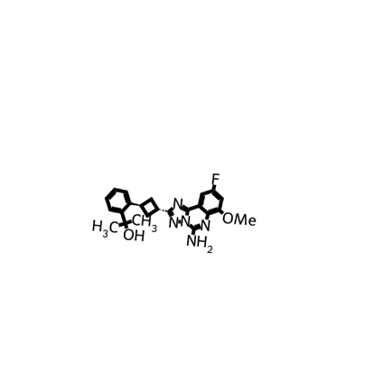 COc1cc(F)cc2c1nc(N)n1nc([C@H]3C[C@H](c4ccccc4C(C)(C)O)C3)nc21